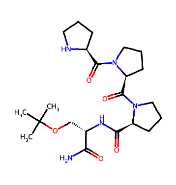 CC(C)(C)OC[C@H](NC(=O)[C@@H]1CCCN1C(=O)[C@@H]1CCCN1C(=O)[C@@H]1CCCN1)C(N)=O